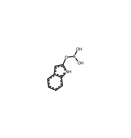 OB(O)Oc1cc2ccccc2[nH]1